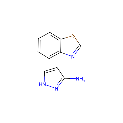 Nc1cc[nH]n1.c1ccc2scnc2c1